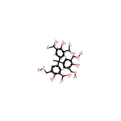 CCOCc1cc(C(C)(c2cc(COCC)c(O)c(C(O)CC)c2)c2cc(C(O)CC)c(O)c(C(O)CC)c2)cc(COCC)c1O